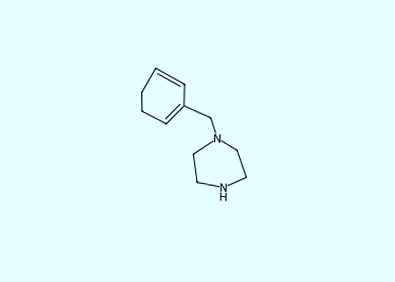 C1=CC(CN2CCNCC2)=CCC1